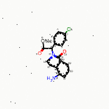 COC(=O)C(c1ccc(Cl)cc1)n1ccc2c(N)cccc2c1=O